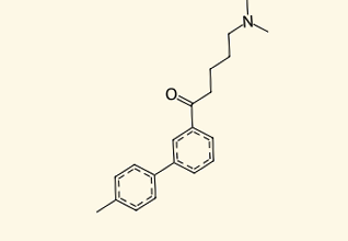 Cc1ccc(-c2cccc(C(=O)CCCCN(C)C)c2)cc1